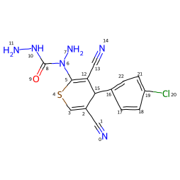 N#CC1=CSC(N(N)C(=O)NN)=C(C#N)C1c1ccc(Cl)cc1